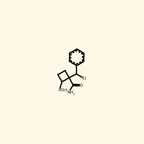 CCCCCCCCC1CCC1(C(N)=O)C(CC)c1ccccc1